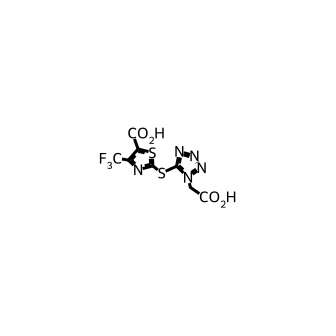 O=C(O)Cn1nnnc1Sc1nc(C(F)(F)F)c(C(=O)O)s1